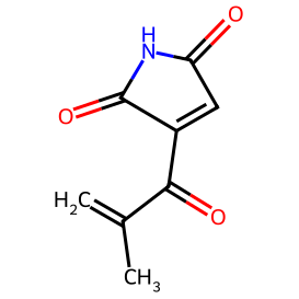 C=C(C)C(=O)C1=CC(=O)NC1=O